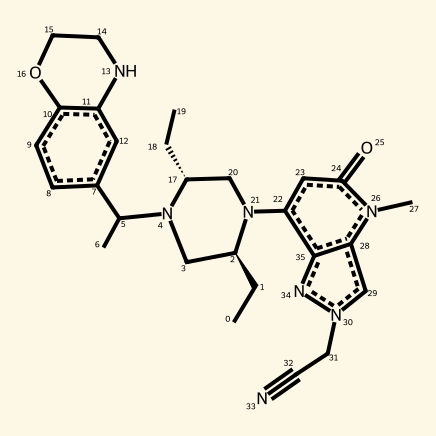 CC[C@H]1CN(C(C)c2ccc3c(c2)NCCO3)[C@H](CC)CN1c1cc(=O)n(C)c2cn(CC#N)nc12